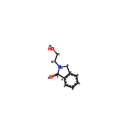 O=C1c2c[c]ccc2CN1CCO